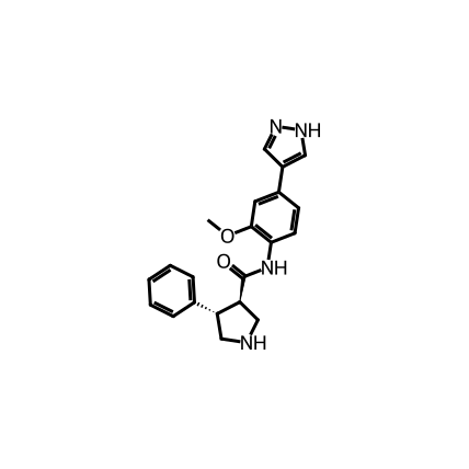 COc1cc(-c2cn[nH]c2)ccc1NC(=O)[C@H]1CNC[C@@H]1c1ccccc1